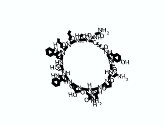 CCCC[C@H]1C(=O)N(C)[C@@H](CCCC)C(=O)N[C@@H](CC)C(=O)N[C@H](C(=O)NCC(N)=O)CSCC(=O)N[C@@H](Cc2ccc(O)cc2)C(=O)N(C)[C@@H](C)C(=O)N[C@@H](CC(N)=O)C(=O)N2CCC[C@H]2C(=O)N[C@@H](Cc2c[nH]cn2)C(=O)N[C@@H](CCC(N)=O)C(=O)N2C[C@H](O)C[C@H]2C(=O)N[C@@H](Cc2c[nH]c3ccccc23)C(=O)N[C@@H](CO)C(=O)N[C@@H](Cc2c[nH]c3ccccc23)C(=O)N1C